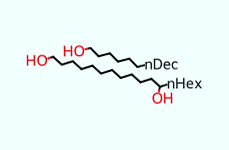 CCCCCCC(O)CCCCCCCCCCCO.CCCCCCCCCCCCCCCCO